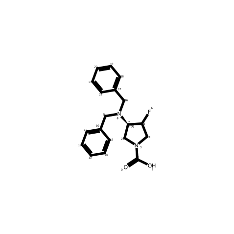 O=C(O)N1CC(F)[C@H](N(Cc2ccccc2)Cc2ccccc2)C1